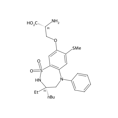 CCCC[C@@]1(CC)CN(c2ccccc2)c2cc(SC)c(OC[C@@H](N)C(=O)O)cc2S(=O)(=O)N1